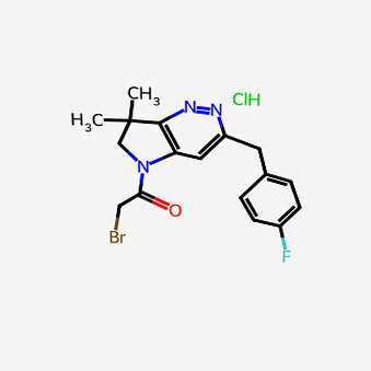 CC1(C)CN(C(=O)CBr)c2cc(Cc3ccc(F)cc3)nnc21.Cl